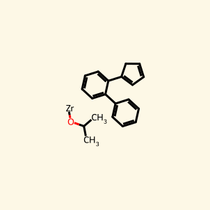 C1=CCC(c2ccccc2-c2ccccc2)=C1.CC(C)[O][Zr]